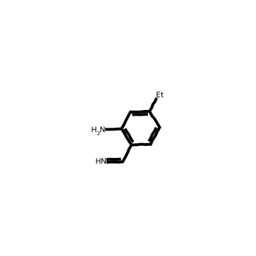 CCc1ccc(C=N)c(N)c1